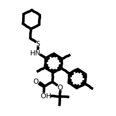 Cc1ccc(-c2c(C)cc(NSCC3CCCCC3)c(C)c2C(OC(C)(C)C)C(=O)O)cc1